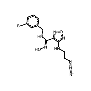 [N-]=[N+]=NCCNc1nonc1/C(=N/O)NCc1cccc(Br)c1